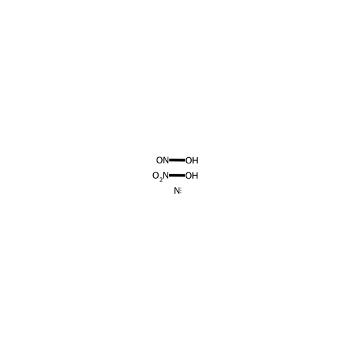 O=NO.O=[N+]([O-])O.[N]